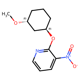 CO[C@@H]1CCC[C@@H](Oc2ncccc2[N+](=O)[O-])C1